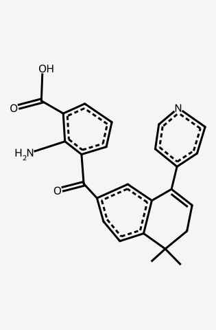 CC1(C)CC=C(c2ccncc2)c2cc(C(=O)c3cccc(C(=O)O)c3N)ccc21